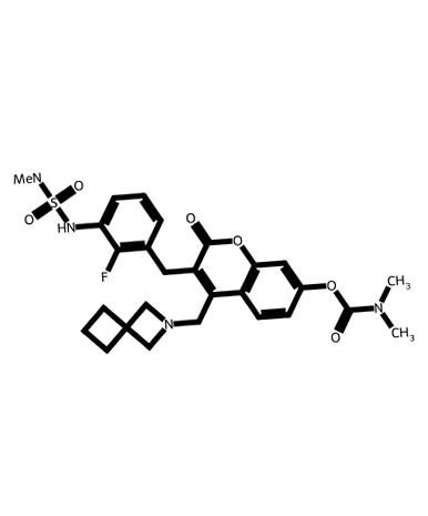 CNS(=O)(=O)Nc1cccc(Cc2c(CN3CC4(CCC4)C3)c3ccc(OC(=O)N(C)C)cc3oc2=O)c1F